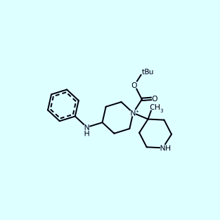 CC(C)(C)OC(=O)[N+]1(C2(C)CCNCC2)CCC(Nc2ccccc2)CC1